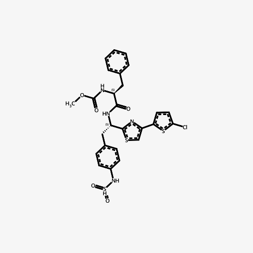 COC(=O)N[C@@H](Cc1ccccc1)C(=O)N[C@@H](Cc1ccc(N[SH](=O)=O)cc1)c1nc(-c2ccc(Cl)s2)cs1